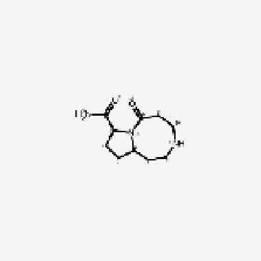 NC(=O)C1CCC2CCNCCC(=O)N21